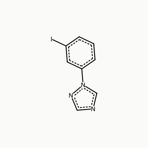 Ic1cccc(-n2cncn2)c1